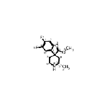 COC(=O)C1(c2ccc(F)c(F)c2)CCN[C@@H](C)C1